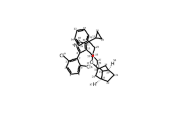 Clc1cccc(Cl)c1-c1noc(C2CC2)c1COC1C[C@H]2CC[C@@H](C1)C2OCOCc1ccccc1